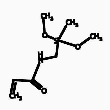 C=CC(=O)NC[Si](C)(OC)OC